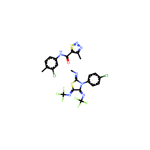 C/N=C1\S/C(=N\C(F)(F)F)C(=NC(F)(F)F)N1c1ccc(Cl)cc1.Cc1ccc(NC(=O)c2snnc2C)cc1Cl